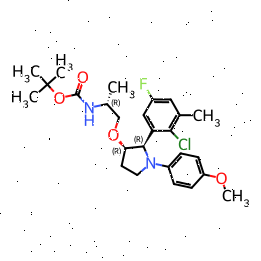 COc1ccc(N2CC[C@@H](OC[C@@H](C)NC(=O)OC(C)(C)C)[C@H]2c2cc(F)cc(C)c2Cl)cc1